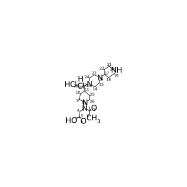 CC(=O)N(CC(=O)O)N1CCC(CN2CCN(C3CCNCC3)CC2)CC1.Cl.Cl